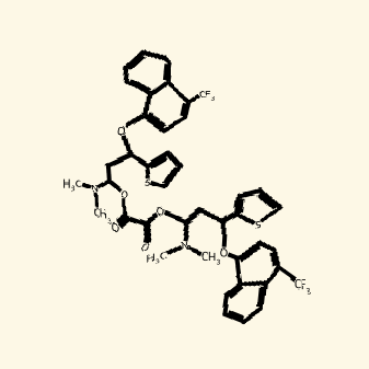 CN(C)C(CC(Oc1ccc(C(F)(F)F)c2ccccc12)c1cccs1)OC(=O)C(=O)OC(CC(Oc1ccc(C(F)(F)F)c2ccccc12)c1cccs1)N(C)C